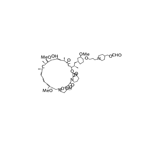 C=C1[C@H](C)C[C@H](C)/C=C/C=C/C=C(\C)[C@@H](OC)C[C@@H]2CC[C@@H](C)[C@@](O)(O2)C(=O)C(=O)N2CCCC[C@H]2C(=O)O[C@H]([C@H](C)C[C@@H]2CC[C@@H](OCCCN3CCC(COC=O)CC3)[C@H](OC)C2)CC(=O)[C@H](C)/C=C(\C)[C@@H](O)[C@H]1OC